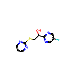 OC(CSc1ncccn1)c1ncc(F)cn1